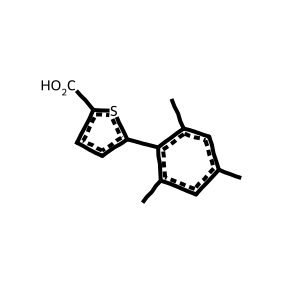 Cc1cc(C)c(-c2ccc(C(=O)O)s2)c(C)c1